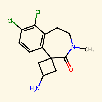 CN1CCc2c(ccc(Cl)c2Cl)C2(CC(N)C2)C1=O